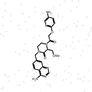 COCC1C(=O)N(Cc2ccc3c(N)ncnc3c2)CCN1C(=O)COc1ccc(N)cn1